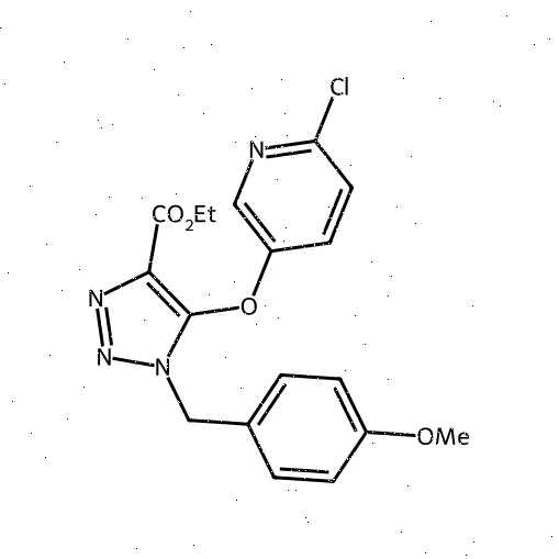 CCOC(=O)c1nnn(Cc2ccc(OC)cc2)c1Oc1ccc(Cl)nc1